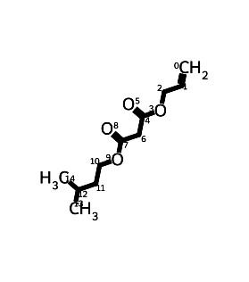 C=CCOC(=O)CC(=O)OCCC(C)C